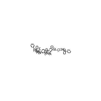 COc1cc2c(Oc3ccc(NC(=S)NC(=O)Cc4ccccc4)cc3F)ncnc2cc1OCC1CC2CN(OC(=O)c3ccccc3)CC2C1